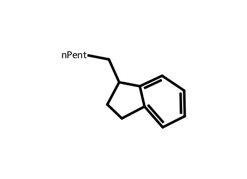 CCCCCCC1CCc2ccccc21